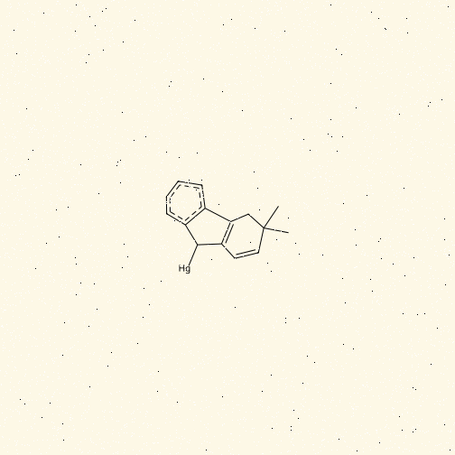 CC1(C)C=CC2=C(C1)c1ccccc1[CH]2[Hg]